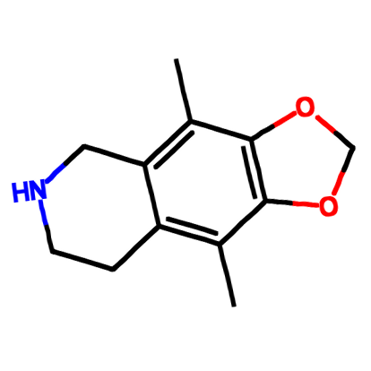 Cc1c2c(c(C)c3c1OCO3)CNCC2